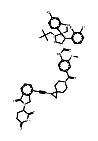 COc1cc(C(=O)N2CCC3(CC2)C[C@H]3C#Cc2cccc3c2CN(C2CCC(=O)NC2=O)C3=O)ccc1NC(=O)[C@@H]1N[C@@H](CC(C)(C)C)[C@@]2(CNc3cc(Cl)ccc32)[C@H]1c1cccc(Cl)c1F